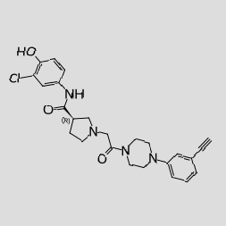 C#Cc1cccc(N2CCN(C(=O)CN3CC[C@@H](C(=O)Nc4ccc(O)c(Cl)c4)C3)CC2)c1